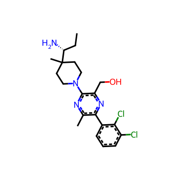 CC[C@@H](N)C1(C)CCN(c2nc(C)c(-c3cccc(Cl)c3Cl)nc2CO)CC1